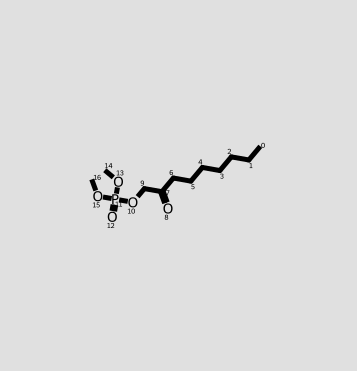 CCCCCCCC(=O)COP(=O)(OC)OC